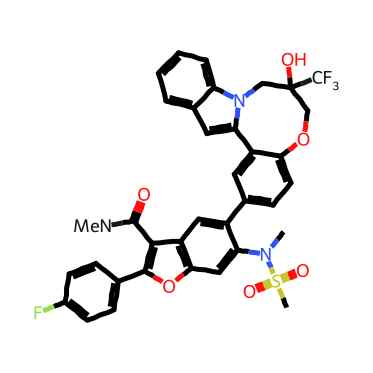 CNC(=O)c1c(-c2ccc(F)cc2)oc2cc(N(C)S(C)(=O)=O)c(-c3ccc4c(c3)-c3cc5ccccc5n3CC(O)(C(F)(F)F)CO4)cc12